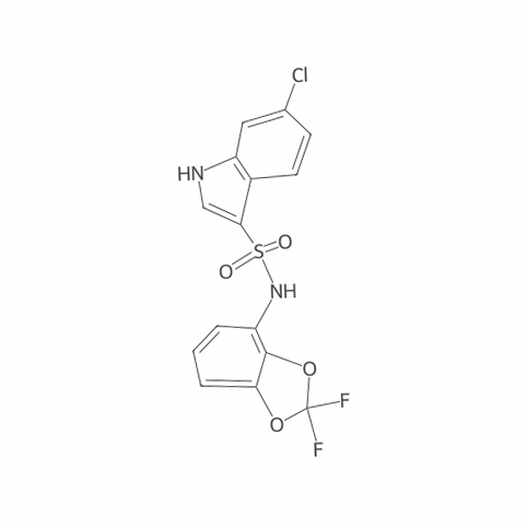 O=S(=O)(Nc1cccc2c1OC(F)(F)O2)c1c[nH]c2cc(Cl)ccc12